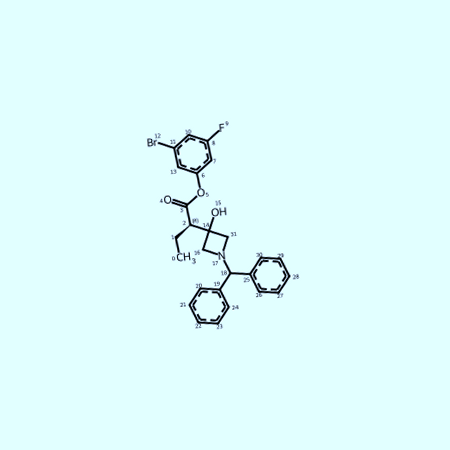 CC[C@@H](C(=O)Oc1cc(F)cc(Br)c1)C1(O)CN(C(c2ccccc2)c2ccccc2)C1